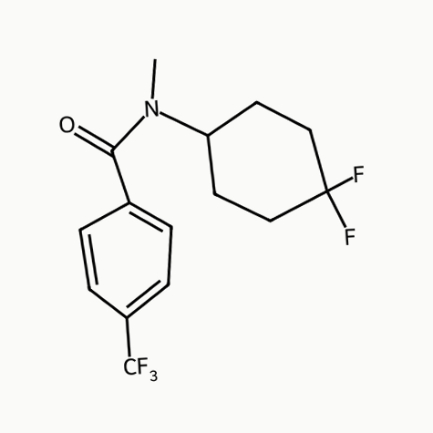 CN(C(=O)c1ccc(C(F)(F)F)cc1)C1CCC(F)(F)CC1